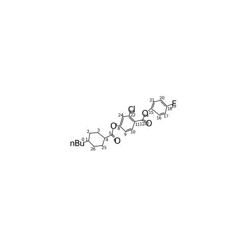 CCCCC1CCC(C(=O)Oc2ccc(C(=O)Oc3ccc(F)cc3)c(Cl)c2)CC1